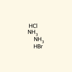 Br.Cl.N.N